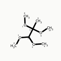 CO[C](OC)C(C)(OC)OC